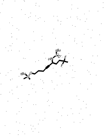 CC(F)(F)CCC(C#CCCCO[Si](C)(C)C(C)(C)C)N[S+]([O-])C(C)(C)C